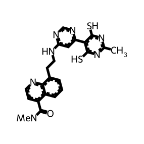 CNC(=O)c1ccnc2c(CCNc3cc(-c4c(S)nc(C)nc4S)ncn3)cccc12